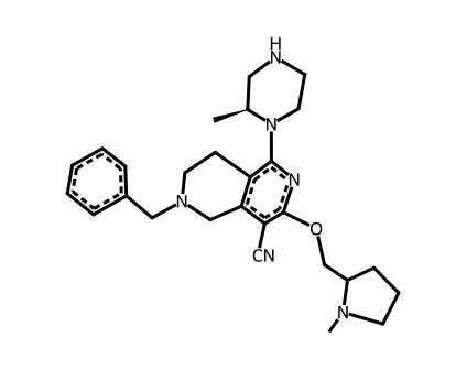 C[C@H]1CNCCN1c1nc(OCC2CCCN2C)c(C#N)c2c1CCN(Cc1ccccc1)C2